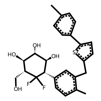 Cc1ccc(-c2ccc(Cc3cc([C@H]4[C@H](O)[C@@H](O)[C@H](O)[C@@H](CO)C4(F)F)ccc3C)s2)cc1